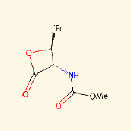 COC(=O)N[C@@H]1C(=O)O[C@H]1C(C)C